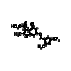 Cc1sc2cc(OCc3cc(C(F)(F)F)nn3C)cc(Cl)c2c1C(C)C(=O)O